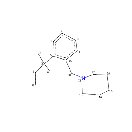 CCC(C)(C)c1ccccc1CN1CCCCC1